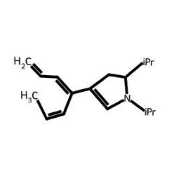 C=C/C=C(\C=C/C)C1=CN(C(C)C)C(C(C)C)C1